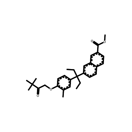 CCC(CC)(c1ccc(OCC(=O)C(C)(C)C)c(C)c1)c1ccc2ccc(C(=O)OC)cc2c1